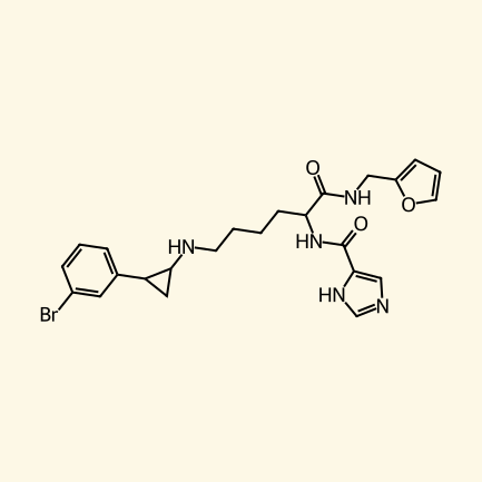 O=C(NC(CCCCNC1CC1c1cccc(Br)c1)C(=O)NCc1ccco1)c1cnc[nH]1